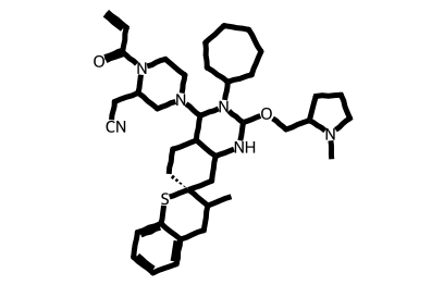 C=CC(=O)N1CCN(C2C3CC[C@@]4(CC3NC(OCC3CCCN3C)N2C2CCCCCC2)Sc2ccccc2CC4C)CC1CC#N